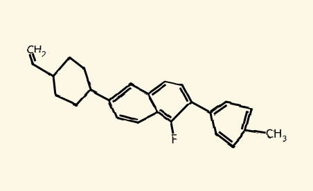 C=CC1CCC(c2ccc3c(F)c(-c4ccc(C)cc4)ccc3c2)CC1